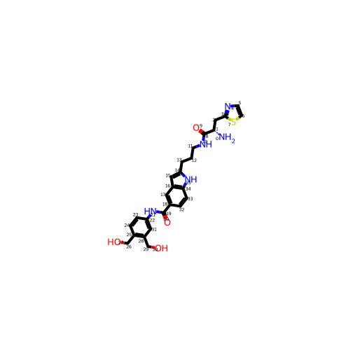 N[C@@H](Cc1nccs1)C(=O)NCCCc1cc2cc(C(=O)Nc3ccc(CO)c(CO)c3)ccc2[nH]1